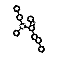 c1ccc(-c2ccc(-c3nc(-c4ccccc4)nc(-c4cc(-c5ccc6cc(-c7ccccc7)ccc6c5)cc5oc6ccccc6c45)n3)cc2)cc1